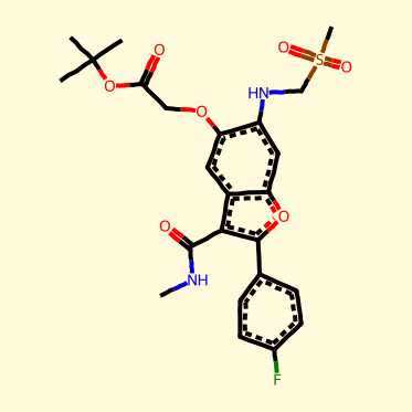 CNC(=O)c1c(-c2ccc(F)cc2)oc2cc(NCS(C)(=O)=O)c(OCC(=O)OC(C)(C)C)cc12